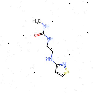 CNC(=O)NCCNc1ccsn1